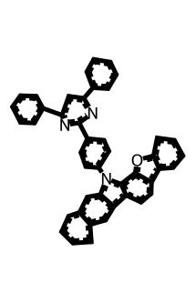 c1ccc(-c2cc(-c3ccccc3)nc(-c3ccc(-n4c5cc6ccccc6cc5c5ccc6c7ccccc7oc6c54)cc3)n2)cc1